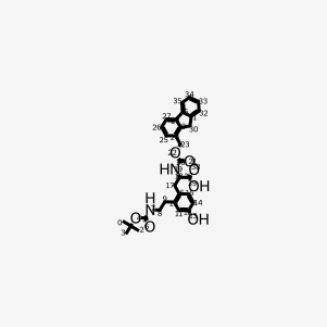 CC(C)(C)OC(=O)NCCc1cc(O)ccc1CC(NC(=O)OCc1cccc2c1Cc1ccccc1-2)C(=O)O